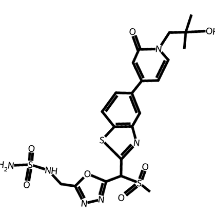 CC(C)(O)Cn1ccc(-c2ccc3sc(C(c4nnc(CNS(N)(=O)=O)o4)S(C)(=O)=O)nc3c2)cc1=O